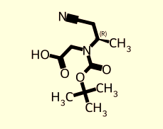 C[C@H](CC#N)N(CC(=O)O)C(=O)OC(C)(C)C